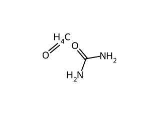 C.C=O.NC(N)=O